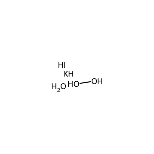 I.O.OO.[KH]